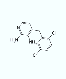 Nc1nccc(Cc2cc(Cl)ccc2Cl)c1N